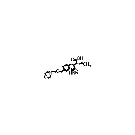 CCC[C@H](C(=O)O)[C@H](Cc1ccc(COCCN2CCOCC2)cc1)c1nn[nH]n1